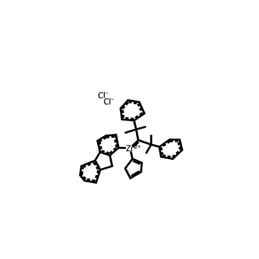 CC(C)([C](=[Zr+2]([C]1=CC=CC1)[c]1cccc2c1Cc1ccccc1-2)C(C)(C)c1ccccc1)c1ccccc1.[Cl-].[Cl-]